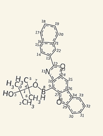 CC(C)(O)C(C)(C)OBc1c2nc(-c3ccc4ccccc4c3)oc2cc2c1oc1ccccc12